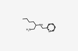 CCCCC(CN)NCc1ccccn1